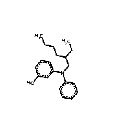 CCCCC(CC)CN(c1ccccc1)c1cccc(O)c1